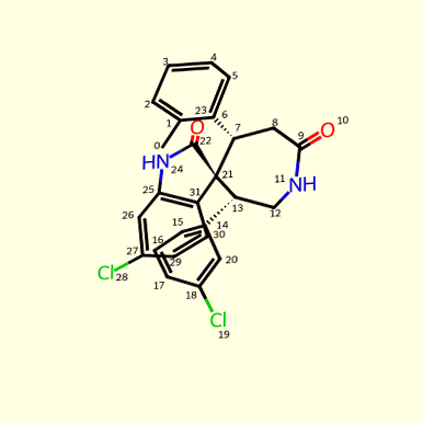 Cc1ccccc1[C@@H]1CC(=O)NC[C@H](c2cccc(Cl)c2)[C@@]12C(=O)Nc1cc(Cl)ccc12